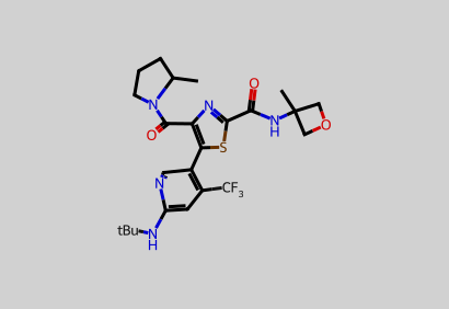 CC1CCCN1C(=O)c1nc(C(=O)NC2(C)COC2)sc1-c1cnc(NC(C)(C)C)cc1C(F)(F)F